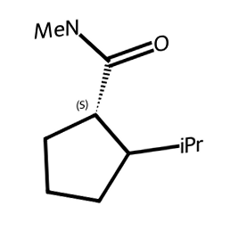 CNC(=O)[C@H]1CCCC1C(C)C